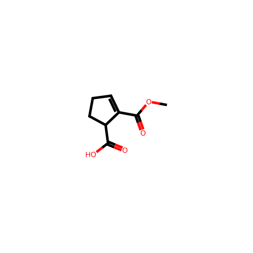 COC(=O)C1=CCCC1C(=O)O